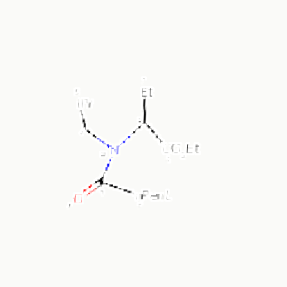 CCCCCC(=O)N(CC(C)C)C(CC)C(=O)OCC